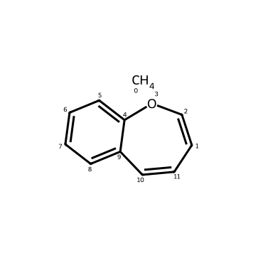 C.C1=COc2ccccc2C=C1